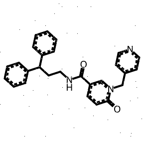 O=C(NCCC(c1ccccc1)c1ccccc1)c1ccc(=O)n(Cc2ccncc2)c1